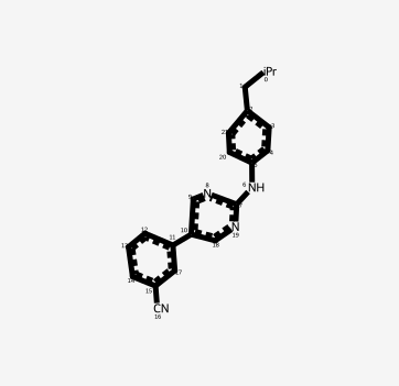 CC(C)Cc1ccc(Nc2ncc(-c3cccc(C#N)c3)cn2)cc1